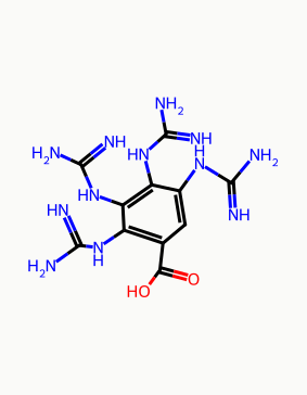 N=C(N)Nc1cc(C(=O)O)c(NC(=N)N)c(NC(=N)N)c1NC(=N)N